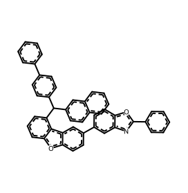 c1ccc(-c2ccc(C(c3ccc4ccccc4c3)c3cccc4oc5ccc(-c6ccc7oc(-c8ccccc8)nc7c6)cc5c34)cc2)cc1